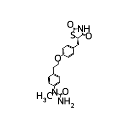 CN(C(N)=O)c1ccc(CCOc2ccc(/C=C3\SC(=O)NC3=O)cc2)cc1